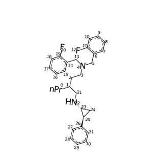 CCCC(CCN(Cc1ccccc1F)Cc1ccccc1F)CN[C@@H]1C[C@H]1c1ccccc1